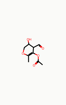 CC(=O)OC1=C(C)OCC(O)C1C=O